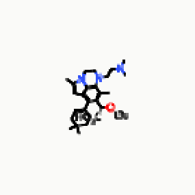 Cc1c([C@H](OC(C)(C)C)C(=O)O)c(C2=CCC(C)(C)CC2)c2cc(C)n3c2c1N(CCN(C)C)CC3